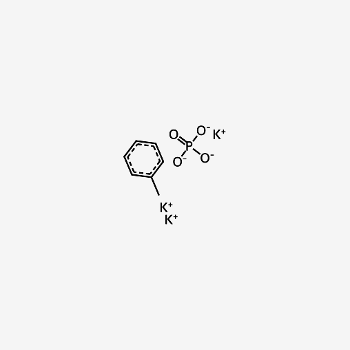 Cc1ccccc1.O=P([O-])([O-])[O-].[K+].[K+].[K+]